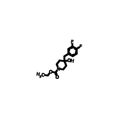 CCOC(=O)N1CCC(O)(Cc2ccc(F)c(F)c2)CC1